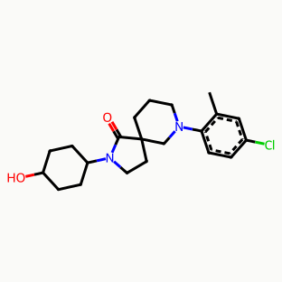 Cc1cc(Cl)ccc1N1CCCC2(CCN(C3CCC(O)CC3)C2=O)C1